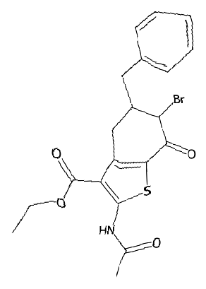 CCOC(=O)c1c(NC(C)=O)sc2c1CC(Cc1ccccc1)C(Br)C2=O